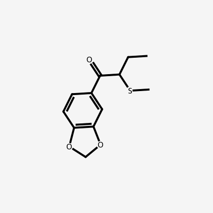 CCC(SC)C(=O)c1ccc2c(c1)OCO2